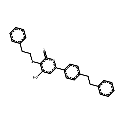 O=c1oc(-c2ccc(CCc3ccccc3)cc2)cc(O)c1SCCc1ccccc1